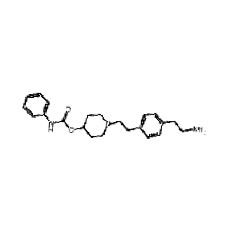 NCCc1ccc(CCN2CCC(OC(=O)Nc3ccccc3)CC2)cc1